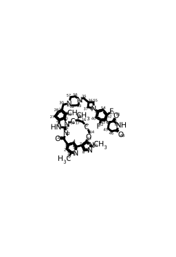 Cc1cc2cc(n1)-c1cnn(C)c1OCCC[C@@H](C)CN1/C(=N/C2=O)Nc2ccc(CN3CCN(CC4CN(c5cc(F)c([C@H]6CCC(=O)NC6=O)c(F)c5)C4)CC3)c(C)c21